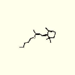 CCCCCO/C(C)=C\C=C1/C(C)=CCCC1(C)C